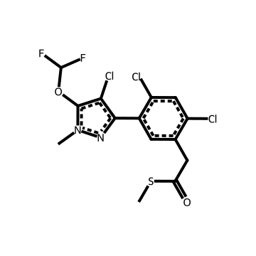 CSC(=O)Cc1cc(-c2nn(C)c(OC(F)F)c2Cl)c(Cl)cc1Cl